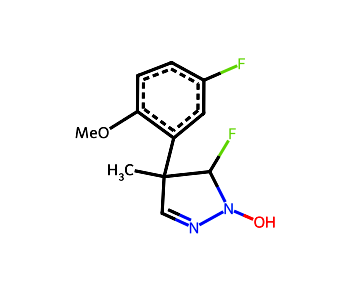 COc1ccc(F)cc1C1(C)C=NN(O)C1F